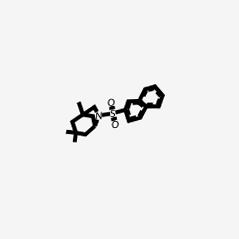 CC1(C)CC2CC(C)(CN2S(=O)(=O)c2ccc3ccccc3c2)C1